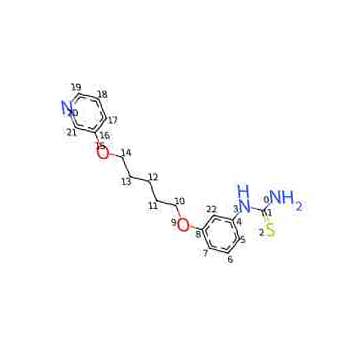 NC(=S)Nc1cccc(OCCCCCOc2cccnc2)c1